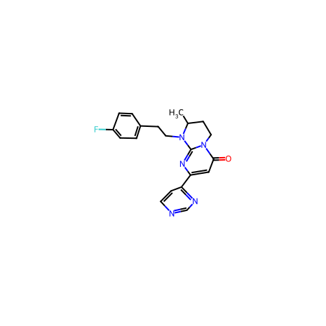 CC1CCn2c(nc(-c3ccncn3)cc2=O)N1CCc1ccc(F)cc1